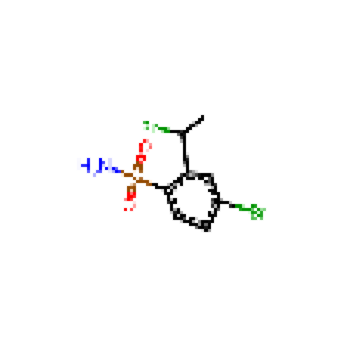 CC(Br)c1cc(Br)ccc1S(N)(=O)=O